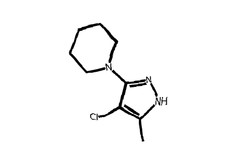 Cc1[nH]nc(N2CCCCC2)c1Cl